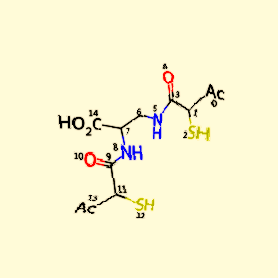 CC(=O)C(S)C(=O)NCC(NC(=O)C(S)C(C)=O)C(=O)O